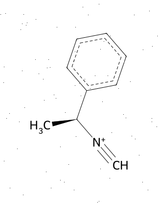 C#[N+][C@@H](C)c1ccccc1